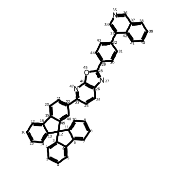 c1ccc2c(c1)-c1ccccc1C21c2ccccc2-c2ccc(-c3ccc4nc(-c5ccc(-c6cncc7ccccc67)cc5)oc4n3)cc21